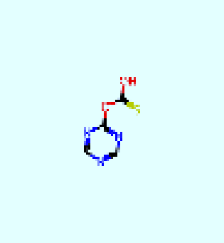 OC(=S)Oc1ncncn1